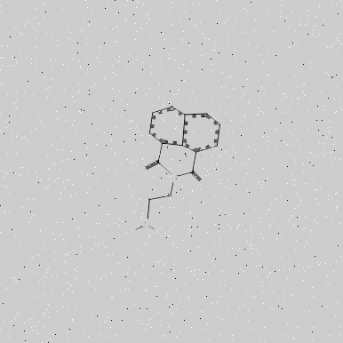 CN(C)CCN1C(=O)c2cccc3cccc(c23)C1=O.Cl